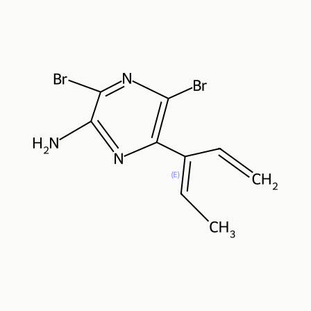 C=C/C(=C\C)c1nc(N)c(Br)nc1Br